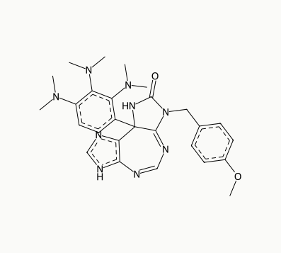 COc1ccc(CN2C(=O)NC3(c4ccc(N(C)C)c(N(C)C)c4N(C)C)C2=NC=Nc2[nH]cnc23)cc1